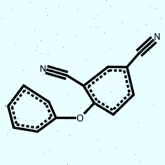 N#Cc1ccc(Oc2cc[c]cc2)c(C#N)c1